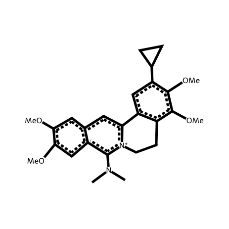 COc1cc2cc3[n+](c(N(C)C)c2cc1OC)CCc1c-3cc(C2CC2)c(OC)c1OC